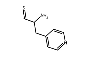 NC([C]=S)Cc1ccncc1